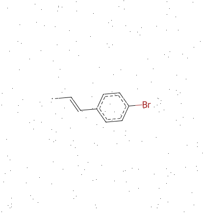 [CH2]/C=C/c1ccc(Br)cc1